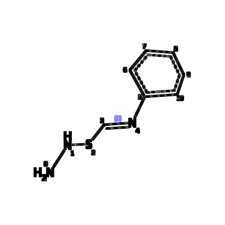 NNS/C=N/c1ccccc1